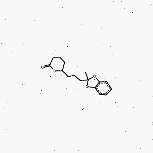 CC1(CCCC2CCCC(=O)O2)Oc2ccccc2O1